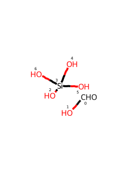 O=CO.O[Si](O)(O)O